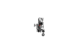 Cn1cnnc1C1(c2cccc(NC(=O)c3cc(CN4CC[C@H](c5ccccc5)C4)cn4ccnc34)c2)CC(CC#N)C1